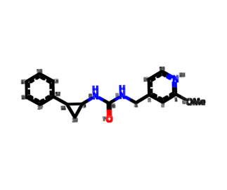 COc1cc(CNC(=O)NC2CC2c2ccccc2)ccn1